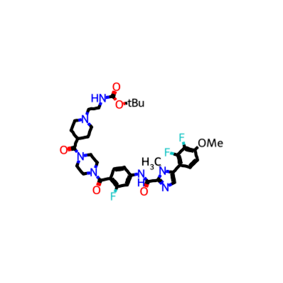 COc1ccc(-c2cnc(C(=O)Nc3ccc(C(=O)N4CCN(C(=O)C5CCN(CCNC(=O)OC(C)(C)C)CC5)CC4)c(F)c3)n2C)c(F)c1F